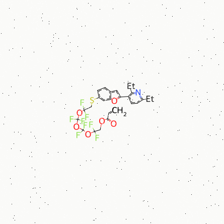 C=CC(=O)OCC(F)(F)OC(F)(F)OC(F)(F)OC(F)(F)CSc1ccc2cc(-c3ccc(CC)nc3CC)oc2c1